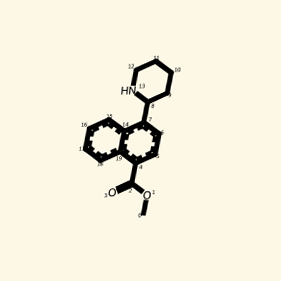 COC(=O)c1ccc(C2CCCCN2)c2ccccc12